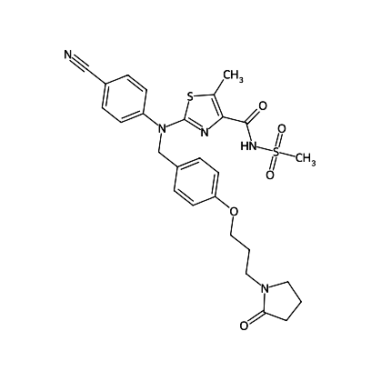 Cc1sc(N(Cc2ccc(OCCCN3CCCC3=O)cc2)c2ccc(C#N)cc2)nc1C(=O)NS(C)(=O)=O